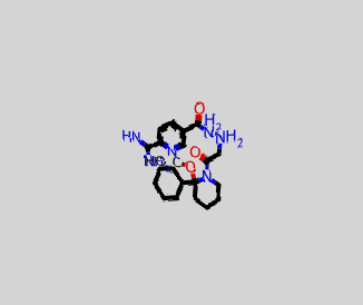 N=C(N)c1ccc(C(N)=O)cn1.NCC(=O)N1CCCCC1(OC(=O)O)C1CCCCC1